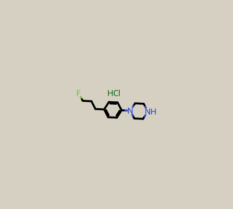 Cl.FCCCc1ccc(N2CCNCC2)cc1